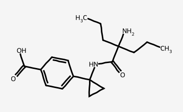 CCCC(N)(CCC)C(=O)NC1(c2ccc(C(=O)O)cc2)CC1